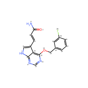 NC(=O)C=Cc1c[nH]c2ncnc(OCc3cccc(F)c3)c12